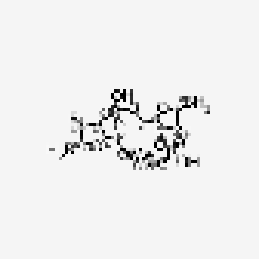 B[C@@H]1OC(COP(=O)(O)O[C@H]2C(COC)O[C@@H](B)C2F)[C@H](OP(=O)(O)OC)C1F